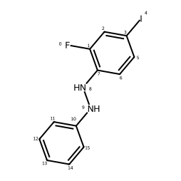 Fc1cc(I)ccc1NNc1ccccc1